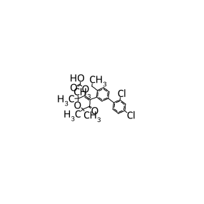 CCc1ccc(-c2ccc(Cl)cc2Cl)cc1C1=C(OC(=O)O)C(C)(C)OC(C)(C)C1=O